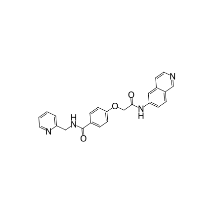 O=C(COc1ccc(C(=O)NCc2ccccn2)cc1)Nc1ccc2cnccc2c1